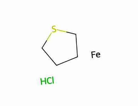 C1CCSC1.Cl.[Fe]